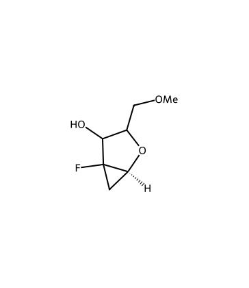 COCC1O[C@H]2CC2(F)C1O